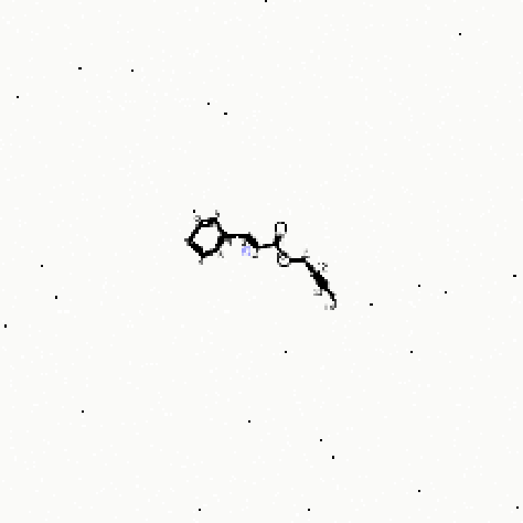 O=C(/C=C/c1ccccc1)OCC#CI